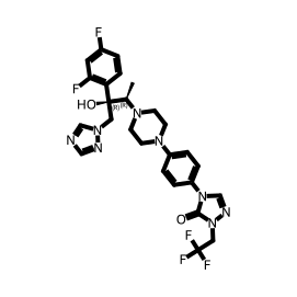 C[C@@H](N1CCN(c2ccc(-n3cnn(CC(F)(F)F)c3=O)cc2)CC1)[C@](O)(Cn1cncn1)c1ccc(F)cc1F